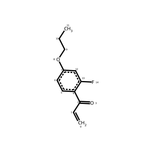 C=CC(=O)c1ccc(OCCC)cc1F